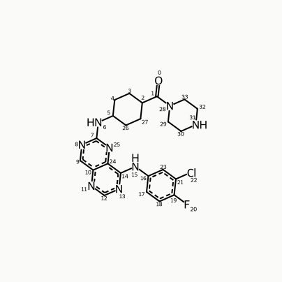 O=C(C1CCC(Nc2ncc3ncnc(Nc4ccc(F)c(Cl)c4)c3n2)CC1)N1CCNCC1